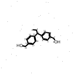 CCC(c1ccc(CO)cc1)c1ccc(CO)cc1